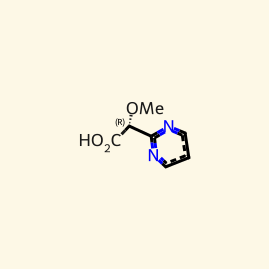 CO[C@@H](C(=O)O)c1ncccn1